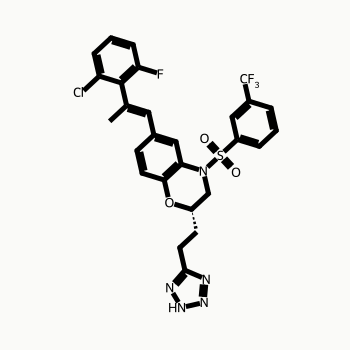 C/C(=C\c1ccc2c(c1)N(S(=O)(=O)c1cccc(C(F)(F)F)c1)C[C@H](CCc1nn[nH]n1)O2)c1c(F)cccc1Cl